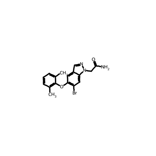 Cc1cccc(C)c1Oc1cc2cnn(CC(N)=O)c2cc1Br